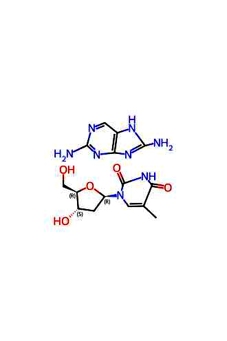 Cc1cn([C@H]2C[C@H](O)[C@@H](CO)O2)c(=O)[nH]c1=O.Nc1ncc2[nH]c(N)nc2n1